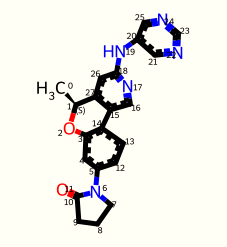 C[C@@H]1Oc2cc(N3CCCC3=O)ccc2-c2cnc(Nc3cncnc3)cc21